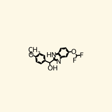 COc1ccc(C(O)c2nc3cc(OC(F)F)ccc3[nH]2)cc1